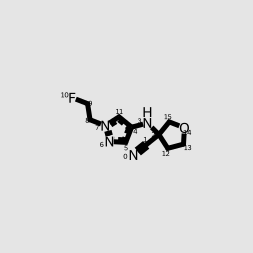 N#CC1(Nc2cnn(CCF)c2)CCOC1